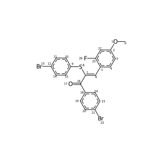 COc1ccc(C=C(Sc2ccc(Br)cc2)C(=O)c2ccc(Br)cc2)c(F)c1